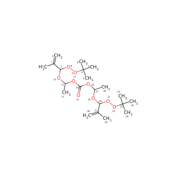 C=C(C)C(OOC(C)(C)C)OC(C)OC(=O)OC(C)OC(OOC(C)(C)C)C(=C)C